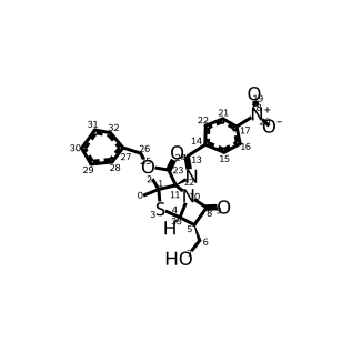 CC1(C)S[C@@H]2[C@H](CO)C(=O)N2[C@@]1(N=Cc1ccc([N+](=O)[O-])cc1)C(=O)OCc1ccccc1